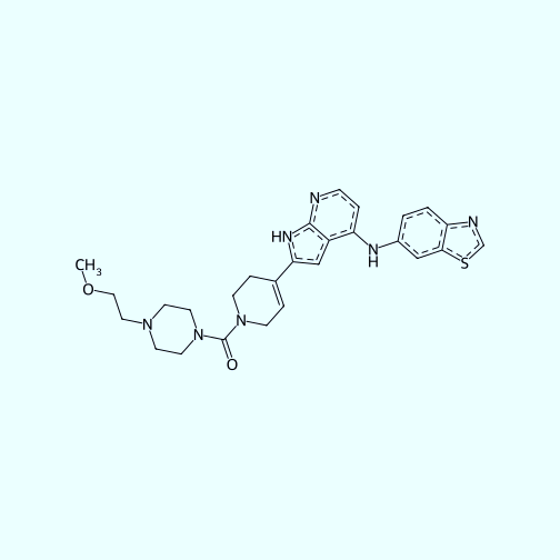 COCCN1CCN(C(=O)N2CC=C(c3cc4c(Nc5ccc6ncsc6c5)ccnc4[nH]3)CC2)CC1